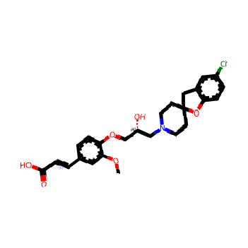 COc1cc(/C=C/C(=O)O)ccc1OC[C@H](O)CN1CCC2(CC1)Cc1cc(Cl)ccc1O2